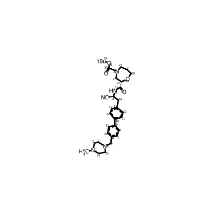 CN1CCN(Cc2ccc(-c3ccc(C[C@@H](C#N)NC(=O)[C@@H]4CN(C(=O)OC(C)(C)C)CCCO4)cc3)cc2)CC1